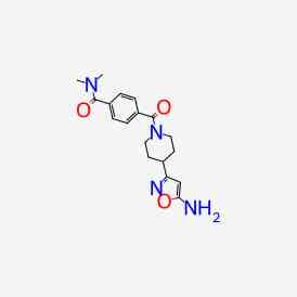 CN(C)C(=O)c1ccc(C(=O)N2CCC(c3cc(N)on3)CC2)cc1